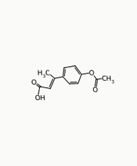 CC(=O)Oc1ccc(C(C)=CC(=O)O)cc1